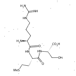 CSCC[C@H](NC(=O)[C@@H](N)CCCNC(=N)N)C(=O)N[C@@H](CO)C(=O)O